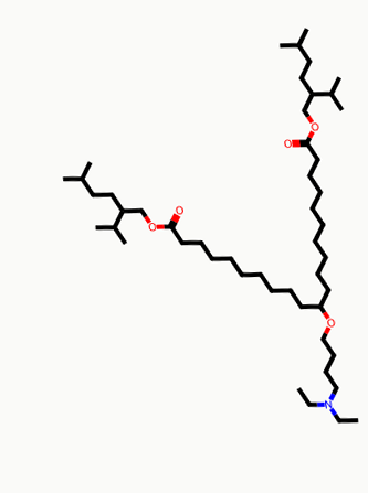 CCN(CC)CCCCOC(CCCCCCCCCC(=O)OCC(CCC(C)C)C(C)C)CCCCCCCCCC(=O)OCC(CCC(C)C)C(C)C